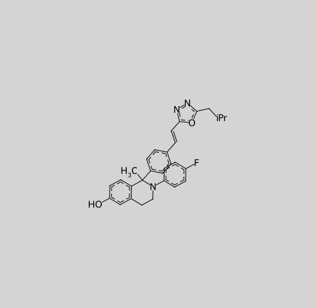 CC(C)Cc1nnc(/C=C/c2ccc(C3(C)c4ccc(O)cc4CCN3c3ccc(F)cc3)cc2)o1